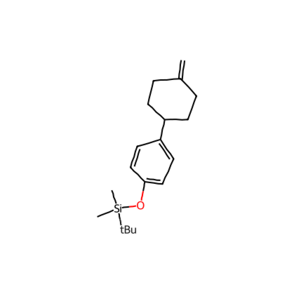 C=C1CCC(c2ccc(O[Si](C)(C)C(C)(C)C)cc2)CC1